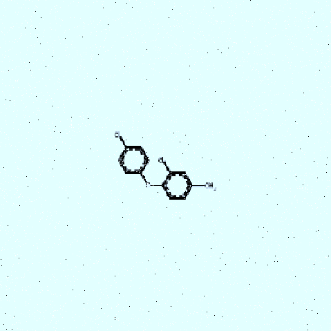 Cc1ccc(Oc2ccc(Cl)cc2)c(Cl)c1